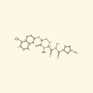 CCCC1C(=O)N(Cc2ccc3c(N)ncnc3c2)CCN1C(=O)C(F)C(=O)c1ccc(Cl)s1